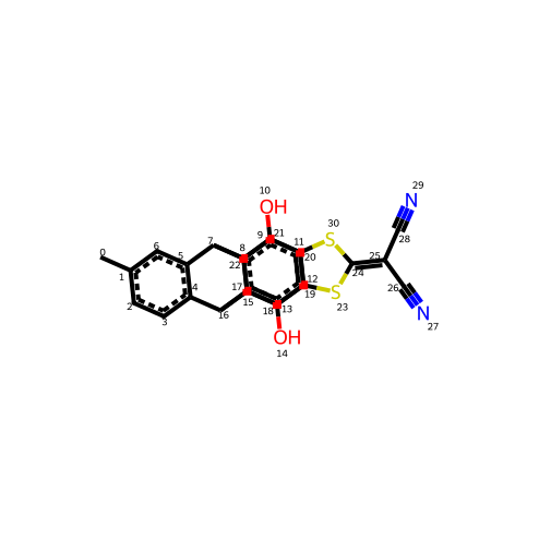 Cc1ccc2c(c1)C1c3c(O)c4c(c(O)c3C2C2=CC=CCC21)SC(=C(C#N)C#N)S4